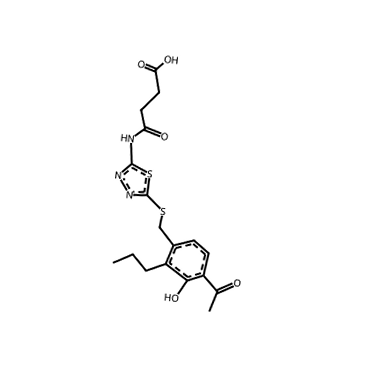 CCCc1c(CSc2nnc(NC(=O)CCC(=O)O)s2)ccc(C(C)=O)c1O